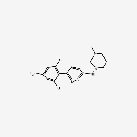 CN1CCC[C@H](Nc2ccc(-c3c(O)cc(C(F)(F)F)cc3Cl)nn2)C1